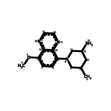 COc1ccc(N2CC(C)CC(N)C2)c2nccnc12